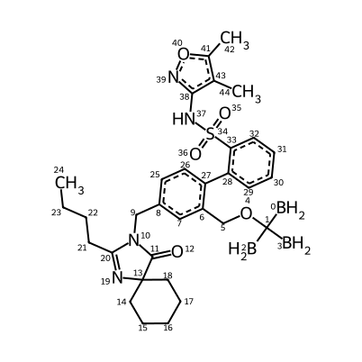 BC(B)(B)OCc1cc(CN2C(=O)C3(CCCCC3)N=C2CCCC)ccc1-c1ccccc1S(=O)(=O)Nc1noc(C)c1C